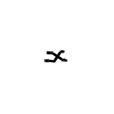 CCCCC(C=O)(CO)CCC